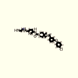 N=C/C=N\Nc1ccc(NC(=O)N2CCC3(CC2)CN(Cc2cccc(Oc4ccc(Cl)cc4)c2)C3)cn1